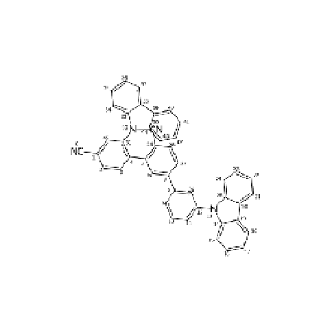 N#Cc1ccc(-c2cc(-c3cccc(-n4c5ccccc5c5ccccc54)c3)ccc2C#N)c(-n2c3ccccc3c3ccccc32)c1